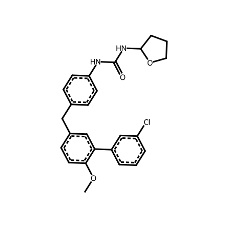 COc1ccc(Cc2ccc(NC(=O)NC3CCCO3)cc2)cc1-c1cccc(Cl)c1